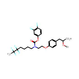 CCOC(Cc1ccc(OCCN(CCCCC(F)(F)C(F)(F)C(F)(F)F)C(=O)Oc2ccc(F)c(F)c2)cc1)C(=O)O